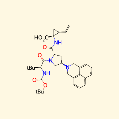 C=C[C@@H]1C[C@]1(NC(=O)[C@@H]1C[C@@H](N2Cc3cccc4cccc(c34)C2)CN1C(=O)[C@@H](NC(=O)OC(C)(C)C)C(C)(C)C)C(=O)O